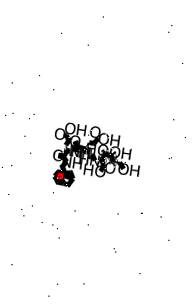 O=C(O)CC[C@H](NCN[C@H]1C(O)O[C@H](CO)[C@H](O)[C@@H]1O)C(=O)N[C@@H](CCC(=O)O)C(=O)NCC12CC3CC(CC(C3)C1)C2